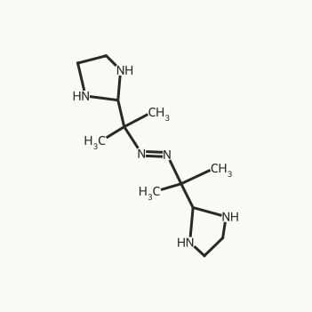 CC(C)(N=NC(C)(C)C1NCCN1)C1NCCN1